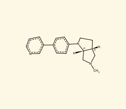 CN1C[C@H]2CCN(c3ccc(-c4cccnc4)cc3)[C@H]2C1